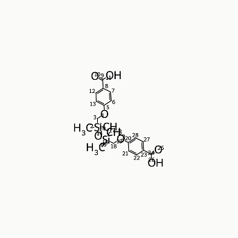 C[Si](C)(COc1ccc(C(=O)O)cc1)O[Si](C)(C)COc1ccc(C(=O)O)cc1